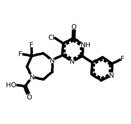 O=C(O)N1CCN(c2nc(-c3ccnc(F)c3)[nH]c(=O)c2Cl)CC(F)(F)C1